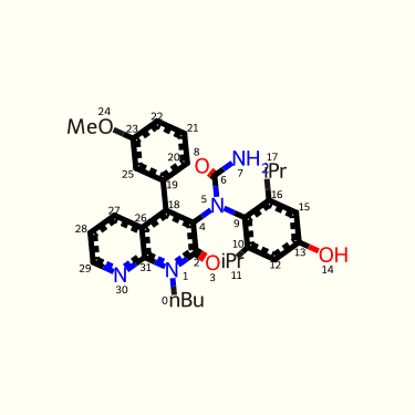 CCCCn1c(=O)c(N(C(N)=O)c2c(C(C)C)cc(O)cc2C(C)C)c(-c2cccc(OC)c2)c2cccnc21